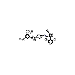 COc1cc(C(=O)O)cc(-c2nc(N3CC4C(/C=C/c5c(-c6c(Cl)cncc6Cl)noc5C5CC5)C4C3)ns2)c1